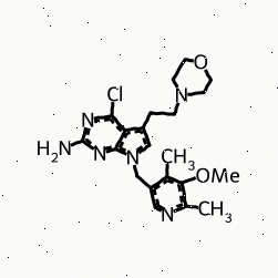 COc1c(C)ncc(Cn2cc(CCN3CCOCC3)c3c(Cl)nc(N)nc32)c1C